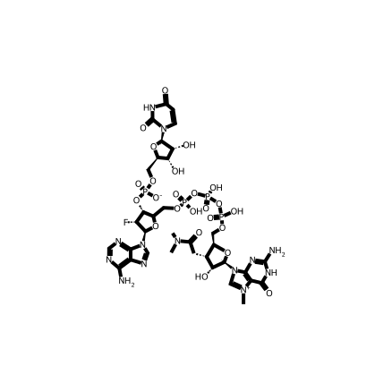 CN(C)C(=O)C[C@H]1[C@@H](O)[C@H](n2c[n+](C)c3c(=O)[nH]c(N)nc32)O[C@@H]1COP(=O)(O)OP(=O)(O)OP(=O)(O)OCC1O[C@@H](n2cnc3c(N)ncnc32)[C@H](F)[C@@H]1OP(=O)([O-])OC[C@H]1O[C@@H](n2ccc(=O)[nH]c2=O)[C@H](O)[C@@H]1O